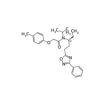 CC[C@@H](CCc1nc(-c2ccccc2)no1)N(C(=O)COc1ccc(C)cc1)C(C)C